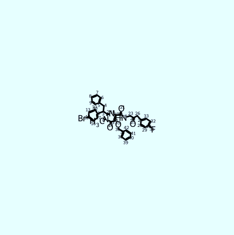 Cn1c(C(Cc2ccccc2)c2ccc(Br)cc2)nc(C(=O)NCC(=O)Cc2ccc(F)cc2)c(OCc2ccccc2)c1=O